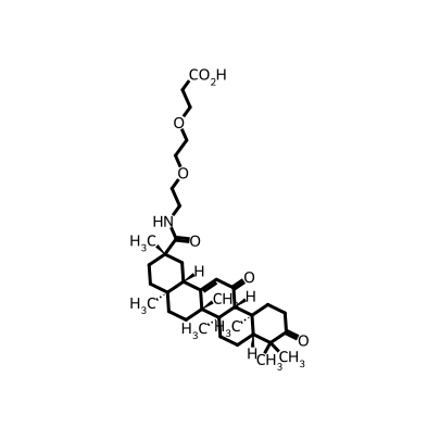 CC1(C)C(=O)CC[C@]2(C)[C@H]3C(=O)C=C4[C@H]5C[C@@](C)(C(=O)NCCOCCOCCC(=O)O)CC[C@]5(C)CC[C@@]4(C)[C@]3(C)CC[C@@H]12